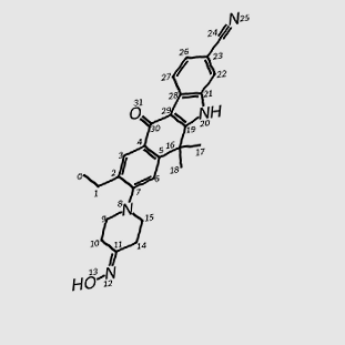 CCc1cc2c(cc1N1CCC(=NO)CC1)C(C)(C)c1[nH]c3cc(C#N)ccc3c1C2=O